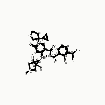 C[C@@H](NC(=O)c1cn([C@@]2(C3CC3)CCOC2)c(=O)cc1N[C@@H]1[C@@H]2CN(C)C[C@@H]21)c1cccc(C(F)F)c1F